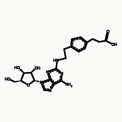 Nc1nc(NCCc2ccc(CCC(=O)O)cc2)nc2c1ncn2[C@@H]1O[C@H](CO)[C@@H](O)[C@H]1O